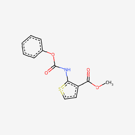 COC(=O)c1ccsc1NC(=O)Oc1ccccc1